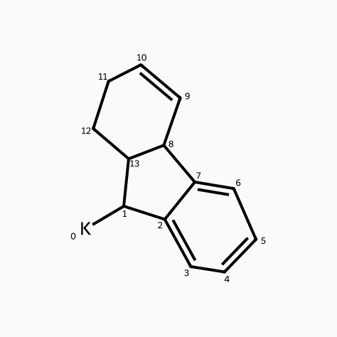 [K][CH]1c2ccccc2C2C=CCCC12